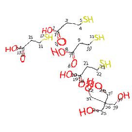 O=C(O)CCS.O=C(O)CCS.O=C(O)CCS.O=C(O)CCS.OCC(CO)(CO)CO